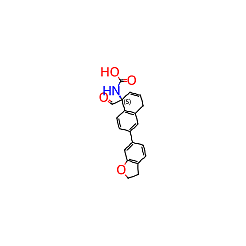 O=C[C@]1(NC(=O)O)C=CCc2cc(-c3ccc4c(c3)OCC4)ccc21